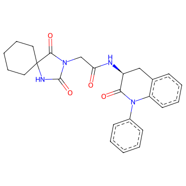 O=C(CN1C(=O)NC2(CCCCC2)C1=O)N[C@H]1Cc2ccccc2N(c2ccccc2)C1=O